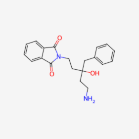 NCCC(O)(CCN1C(=O)c2ccccc2C1=O)Cc1ccccc1